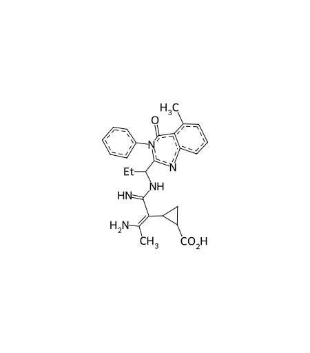 CCC(NC(=N)/C(=C(/C)N)C1CC1C(=O)O)c1nc2cccc(C)c2c(=O)n1-c1ccccc1